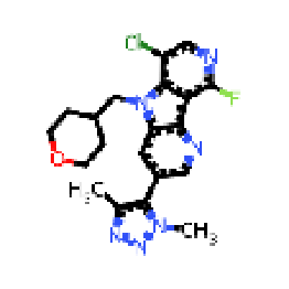 Cc1nnn(C)c1-c1cnc2c3c(F)ncc(Cl)c3n(CC3CCOCC3)c2c1